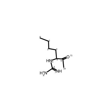 CCCCC(NC(=N)N)C(C)=O